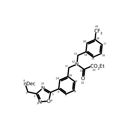 CCCCCCCCCCCc1noc(-c2cccc(CN(Cc3cccc(C(F)(F)F)c3)C(=O)C(=O)OCC)c2)n1